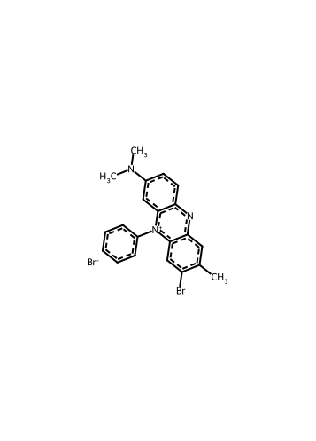 Cc1cc2nc3ccc(N(C)C)cc3[n+](-c3ccccc3)c2cc1Br.[Br-]